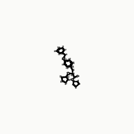 O=C(OC1CCCC1)[C@H](Cc1ccc(OCc2ccccc2)cc1)OC1CCCC1